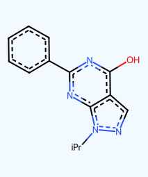 CC(C)n1ncc2c(O)nc(-c3ccccc3)nc21